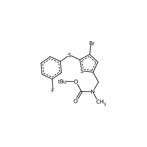 CN(Cc1cc(Br)c(Sc2cccc(F)c2)s1)C(=O)OC(C)(C)C